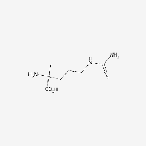 CC(N)(CCCNC(N)=S)C(=O)O